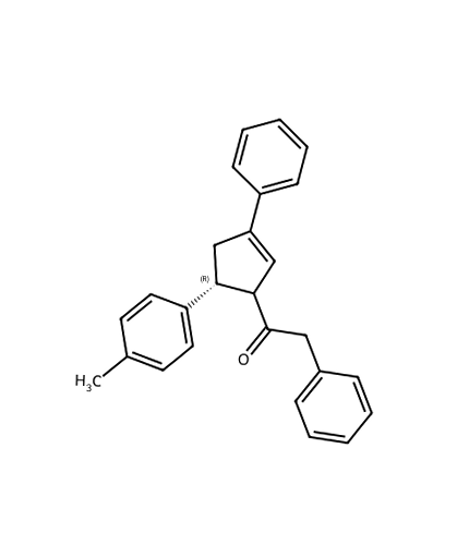 Cc1ccc([C@@H]2CC(c3ccccc3)=CC2C(=O)Cc2ccccc2)cc1